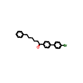 O=C(CCCCCc1ccccc1)c1ccc(-c2ccc(Br)cc2)cc1